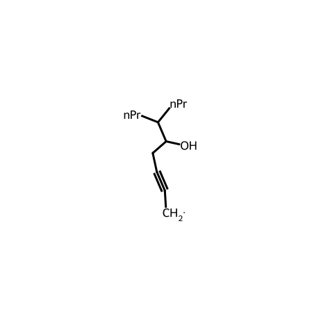 [CH2]C#CCC(O)C(CCC)CCC